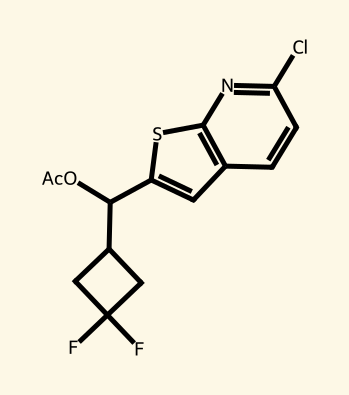 CC(=O)OC(c1cc2ccc(Cl)nc2s1)C1CC(F)(F)C1